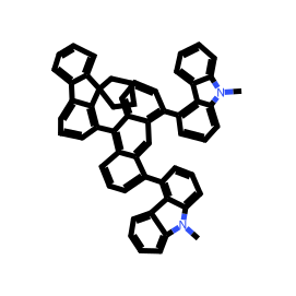 Cn1c2ccccc2c2c(-c3cccc4c(-c5cccc6c5C5(CCCC5)c5ccccc5-6)c5cccc(-c6cccc7c6c6ccccc6n7C)c5cc34)cccc21